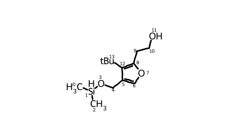 C[SiH](C)OCc1coc(CCO)c1C(C)(C)C